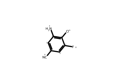 N#Cc1cc(N)c(Cl)c(F)c1